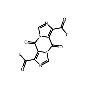 O=C(Cl)c1ncn2c(=O)c3c(C(=O)I)ncn3c(=O)c12